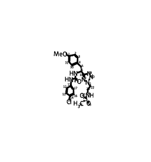 COc1ccc(C[C@H](NC(=O)Nc2ccc(Cl)cc2)c2nnn(CCNS(C)(=O)=O)n2)cc1